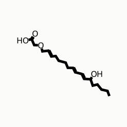 CCCCCC(O)/C=C/C=C/CCCC/C=C/COCC(=O)O